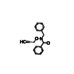 C#CCON(Cc1ccccc1)C(=O)c1ccccc1